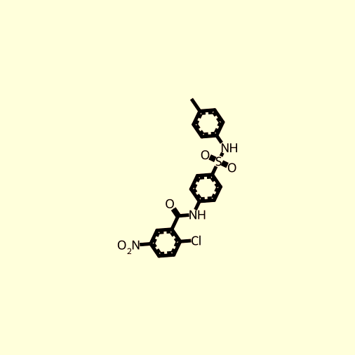 Cc1ccc(NS(=O)(=O)c2ccc(NC(=O)c3cc([N+](=O)[O-])ccc3Cl)cc2)cc1